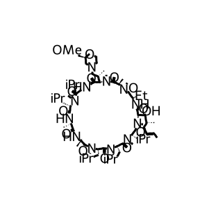 C/C=C/C[C@@H](C)[C@@H](O)[C@H]1C(=O)N[C@@H](CC)C(=O)N(C)[C@H](C)C(=O)N(C)[C@@H]([C@@H](C)CN2CCO[C@H](COC)C2)C(=O)N[C@@H](C(C)C)C(=O)N(C)[C@@H](CC(C)C)C(=O)N[C@@H](C)C(=O)N[C@H](C)C(=O)N(C)[C@@H](CC(C)C)C(=O)N(C)[C@@H](CC(C)C)C(=O)N(C)[C@@H](C(C)C)C(=O)N1C